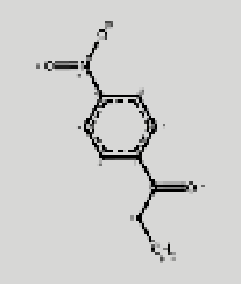 CCC(=O)c1ccc([N+](=O)[O-])cc1